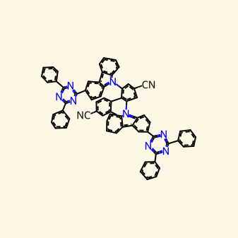 Cc1cc(C#N)ccc1-c1c(-n2c3ccccc3c3cc(-c4nc(-c5ccccc5)nc(-c5ccccc5)n4)ccc32)cc(C#N)cc1-n1c2ccccc2c2cc(-c3nc(-c4ccccc4)nc(-c4ccccc4)n3)ccc21